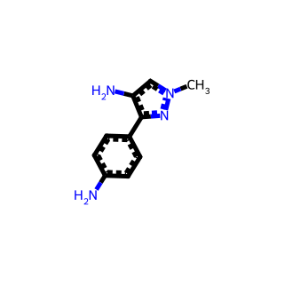 Cn1cc(N)c(-c2ccc(N)cc2)n1